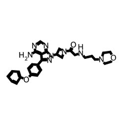 Nc1ncnc2c1c(-c1ccc(Oc3ccccc3)cc1)nn2C1CN(C(=O)CNCCCN2CCOCC2)C1